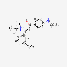 CCOC(=O)Nc1ccc(C(=O)C=C2NC(C)(C)Cc3ccc(OC)cc32)cc1